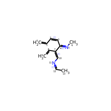 C=C\C=C/C(=N\C)C(/C=C)=C/N=C\C